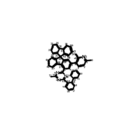 Cc1ccc(-c2cc(-c3nc(C)nc(-c4ccccc4-c4ccccc4)n3)c3c(c2)C2(c4ccccc4-c4ccccc42)c2ccccc2-3)c(C)n1